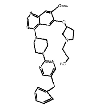 COc1cc2ncnc(N3CCN(c4ncc(Cc5ccccc5)cn4)CC3)c2cc1OC1CCN(CCO)C1